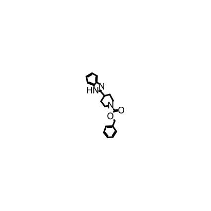 O=C(OCc1ccccc1)N1CCC(c2nc3ccccc3[nH]2)CC1